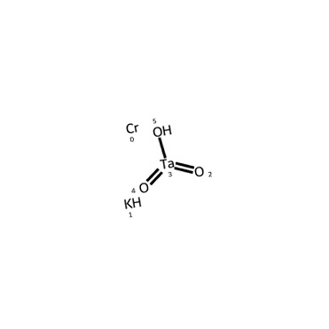 [Cr].[KH].[O]=[Ta](=[O])[OH]